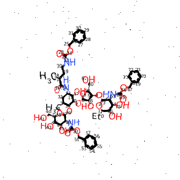 CC[C@@H]1O[C@H](O[C@H]2[C@@H](O)[C@H](O[C@@H]3[C@@H](O)[C@H](NC(=O)[C@@H](C)CCNC(=O)OCc4ccccc4)C[C@H](C)[C@H]3O[C@H]3O[C@H](CO)[C@@H](O)[C@H](O)[C@H]3NC(=O)OCc3ccccc3)O[C@@H]2CO)[C@H](NC(=O)OCc2ccccc2)[C@@H](O)[C@@H]1O